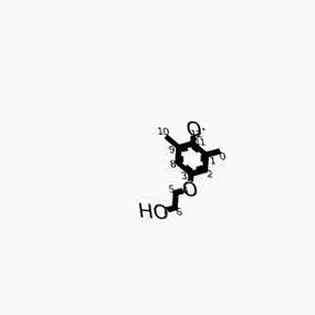 Cc1cc(OCCO)cc(C)c1[O]